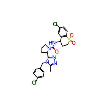 Cc1nnc([C@H]2CCCN2C(=O)N[C@@H]2CCS(=O)(=O)c3ccc(Cl)cc32)n1Cc1ccc(Cl)cc1